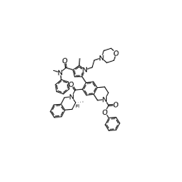 Cc1c(C(=O)N(C)c2ccccc2)cc(-c2cc3c(cc2C(=O)N2Cc4ccccc4C[C@H]2C)CN(C(=O)Oc2ccccc2)CC3)n1CCN1CCOCC1